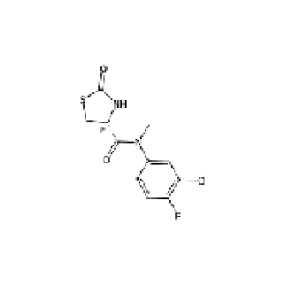 CN(C(=O)[C@@H]1CSC(=O)N1)c1ccc(F)c(Cl)c1